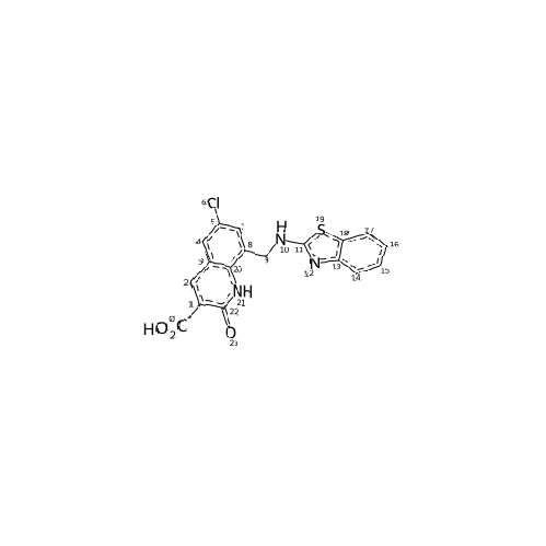 O=C(O)c1cc2cc(Cl)cc(CNc3nc4ccccc4s3)c2[nH]c1=O